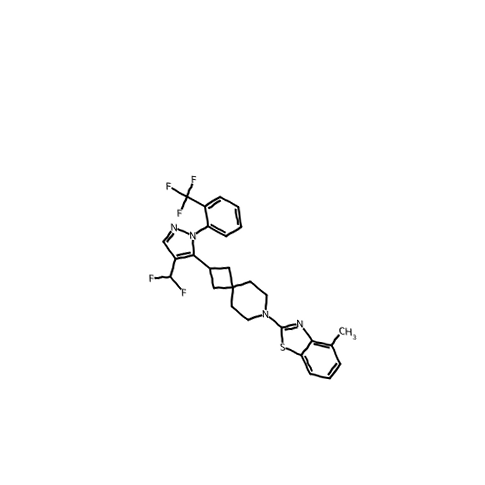 Cc1cccc2sc(N3CCC4(CC3)CC(c3c(C(F)F)cnn3-c3ccccc3C(F)(F)F)C4)nc12